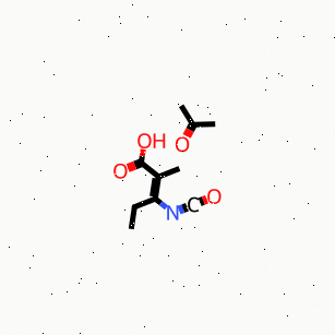 CC(C)=O.CCC(N=C=O)=C(C)C(=O)O